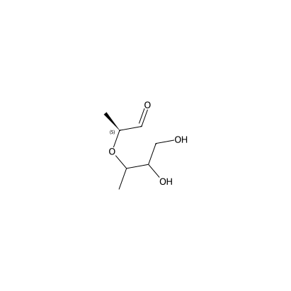 CC(O[C@@H](C)C=O)C(O)CO